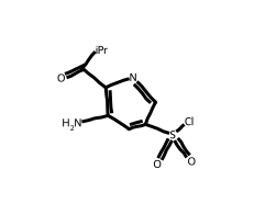 CC(C)C(=O)c1ncc(S(=O)(=O)Cl)cc1N